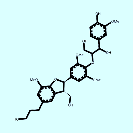 COc1cc(C(O)C(CO)Oc2c(OC)cc([C@@H]3Oc4c(OC)cc(CCCO)cc4[C@H]3CO)cc2OC)ccc1O